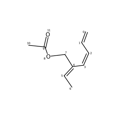 C=C/C=C\C(=C/C)COC(C)=O